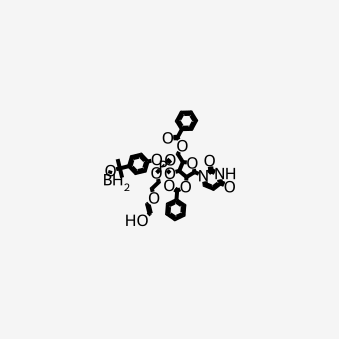 BOC(C)(C)c1ccc(OP(=O)(OCCO/C=C/O)OC2C(COC(=O)c3ccccc3)OC(n3ccc(=O)[nH]c3=O)C2OC(=O)c2ccccc2)cc1